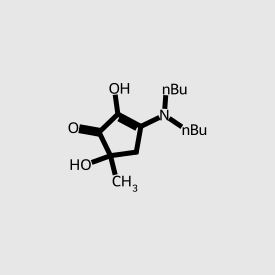 CCCCN(CCCC)C1=C(O)C(=O)C(C)(O)C1